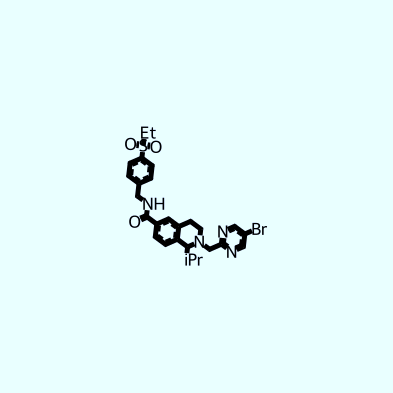 CCS(=O)(=O)c1ccc(CNC(=O)c2ccc3c(c2)CCN(Cc2ncc(Br)cn2)C3C(C)C)cc1